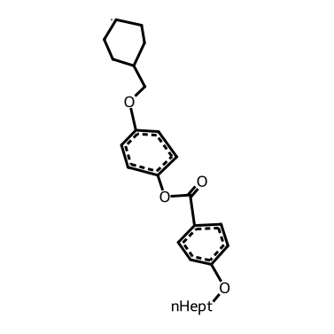 CCCCCCCOc1ccc(C(=O)Oc2ccc(OCC3CC[CH]CC3)cc2)cc1